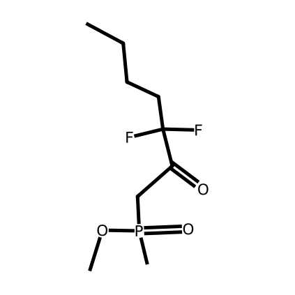 CCCCC(F)(F)C(=O)CP(C)(=O)OC